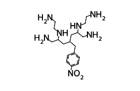 NCCNC(CN)CC(Cc1ccc([N+](=O)[O-])cc1)CC(CN)NCCN